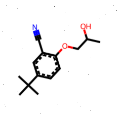 CC(O)COc1ccc(C(C)(C)C)cc1C#N